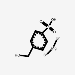 O=S(=O)(O)c1ccc(CO)cc1.[Br][Mg][Br]